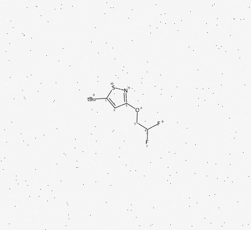 CC(C)(C)c1cc(OCC(F)F)ns1